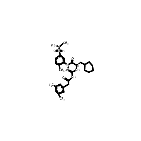 Cc1ccc(S(=O)(=O)N(C)C)cc1NC(=O)[C@@H](CC1CCCCC1)NC(=N)NC(=O)Cc1cc(C(F)(F)F)cc(C(F)(F)F)c1